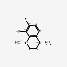 Cl.N[C@@H]1CCOc2c1ccc(F)c2F